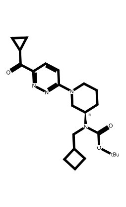 CC(C)(C)OC(=O)N(CC1CCC1)[C@@H]1CCCN(c2ccc(C(=O)C3CC3)nn2)C1